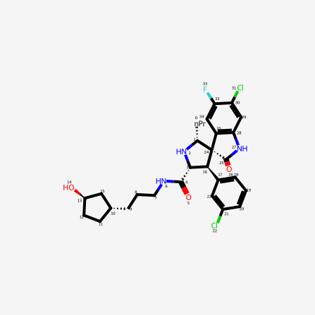 CCC[C@H]1N[C@@H](C(=O)NCCC[C@@H]2CC[C@@H](O)C2)[C@H](c2cccc(Cl)c2)[C@@]12C(=O)Nc1cc(Cl)c(F)cc12